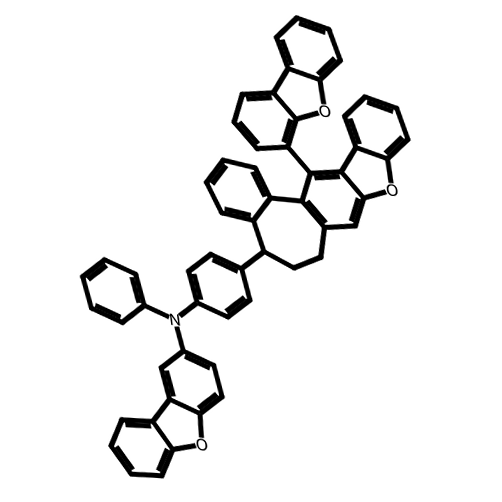 c1ccc(N(c2ccc(C3CCc4cc5oc6ccccc6c5c(-c5cccc6c5oc5ccccc56)c4-c4ccccc43)cc2)c2ccc3oc4ccccc4c3c2)cc1